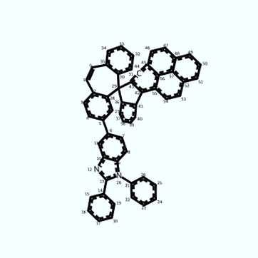 C1=Cc2ccc(-c3ccc4c(c3)nc(-c3ccccc3)n4-c3ccccc3)cc2C2(c3ccccc31)c1ccccc1-c1c2cc2ccc3cccc4ccc1c2c34